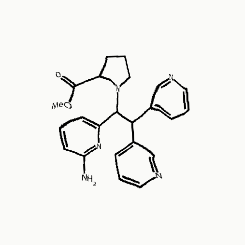 COC(=O)C1CCCN1C(c1cccc(N)n1)C(c1cccnc1)c1cccnc1